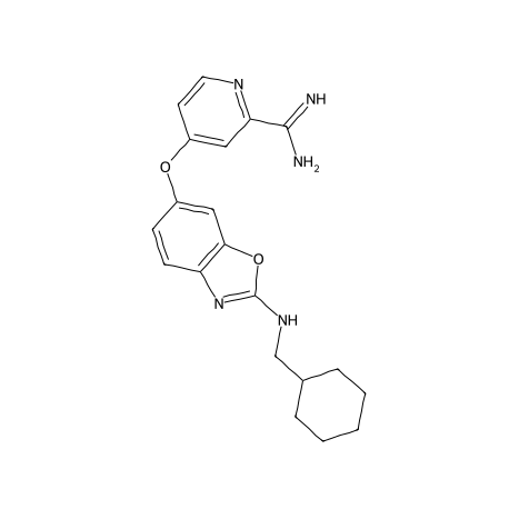 N=C(N)c1cc(Oc2ccc3nc(NCC4CCCCC4)oc3c2)ccn1